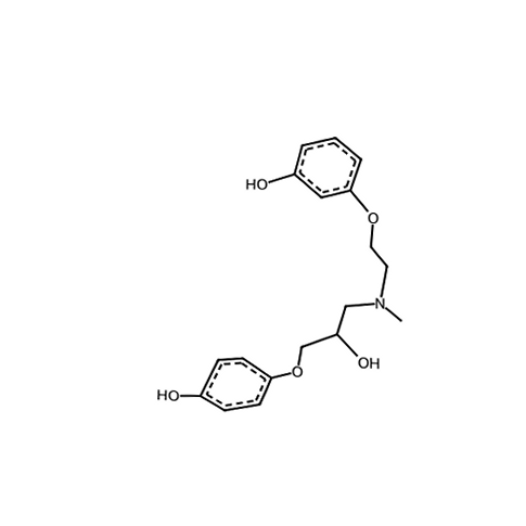 CN(CCOc1cccc(O)c1)CC(O)COc1ccc(O)cc1